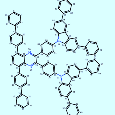 c1ccc(-c2ccc(-c3ccc(-c4ccc(-c5ccccc5)cc4)c4nc(-c5ccc(-n6c7ccc(-c8ccccc8)cc7c7cc(-c8ccccc8)ccc76)cc5)c(-c5ccc(-n6c7ccc(-c8ccccc8)cc7c7cc(-c8ccccc8)ccc76)cc5)nc34)cc2)cc1